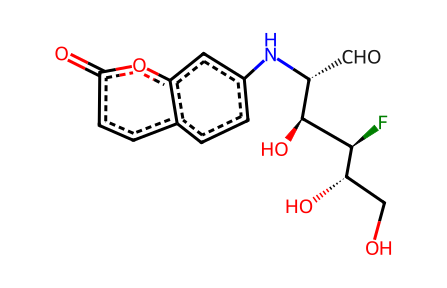 O=C[C@@H](Nc1ccc2ccc(=O)oc2c1)[C@H](O)[C@@H](F)[C@@H](O)CO